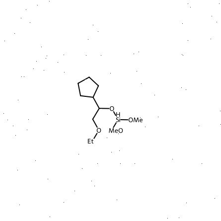 CCOCC(O[SiH](OC)OC)C1CCCC1